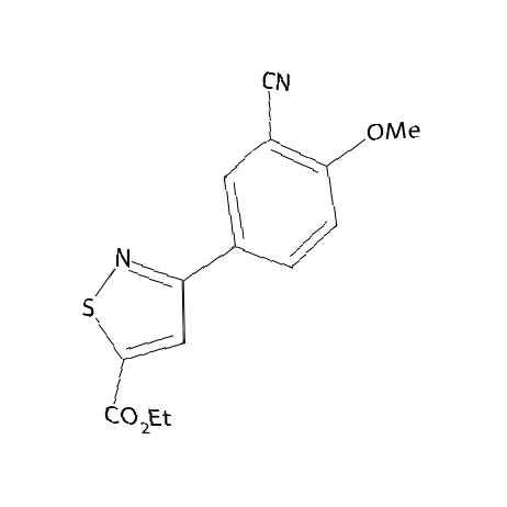 CCOC(=O)c1cc(-c2ccc(OC)c(C#N)c2)ns1